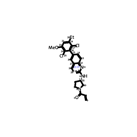 C=CC(=O)N1CC[C@H](NC(=C)/N=C2/C=CC(c3c(Cl)c(CC)cc(OC)c3Cl)=C/C2=C/C)C1